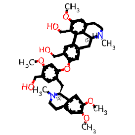 COc1cc(Oc2cc3c(cc2CO)-c2c(CO)c(OC)cc4c2[C@H](C3)N(C)CC4)c(C[C@H]2c3cc(OC)c(OC)cc3CCN2C)cc1CO